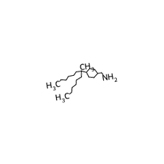 CCCCCCC(C)(CCCCCC)C1CCC(CN)CC1